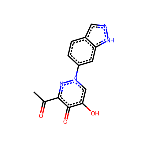 CC(=O)c1nn(-c2ccc3cn[nH]c3c2)cc(O)c1=O